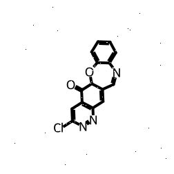 O=C1c2cc(Cl)nnc2C=C2C=Nc3ccccc3OC12